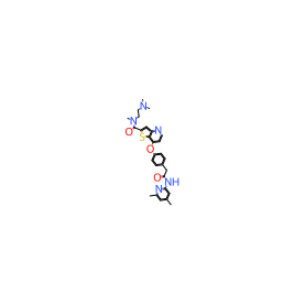 Cc1cc(C)nc(NC(=O)Cc2ccc(Oc3ccnc4cc(C(=O)N(C)CCN(C)C)sc34)cc2)c1